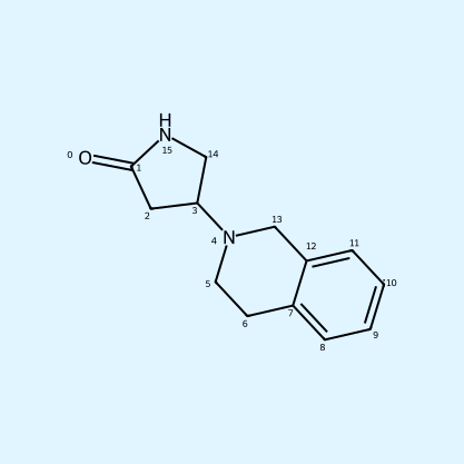 O=C1CC(N2CCc3cc[c]cc3C2)CN1